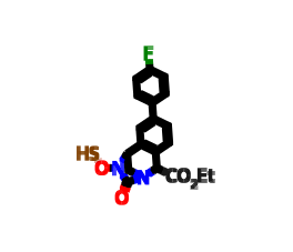 CCOC(=O)C1c2ccc(-c3ccc(F)cc3)cc2C2CN1C(=O)N2OS